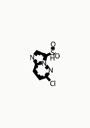 O=[SH](=O)c1cnc2ccc(Cl)nn12